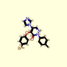 Cc1ccc(-n2ncc(-n3ccnc3)c(Oc3ccc(Br)cc3)c2=O)cc1